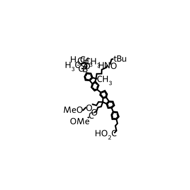 COCCOCCCC1(CCCOCCOC)c2cc(-c3ccc(CCCC(=O)O)cc3)ccc2-c2ccc(-c3ccc4c(c3)C(C)(CCCCNC(=O)CC(C)(C)C)c3cc(B5OC(C)(C)C(C)(C)O5)ccc3-4)cc21